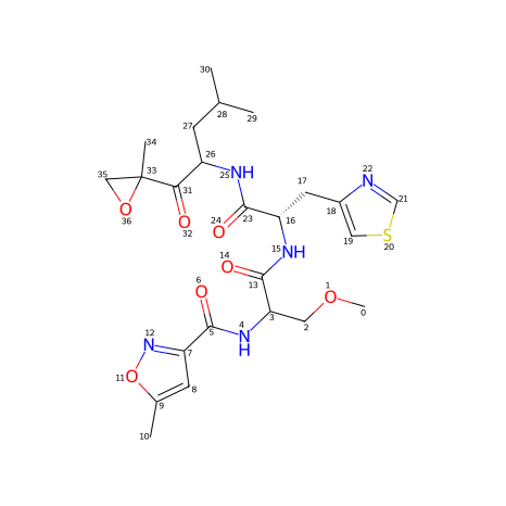 COCC(NC(=O)c1cc(C)on1)C(=O)N[C@@H](Cc1cscn1)C(=O)NC(CC(C)C)C(=O)C1(C)CO1